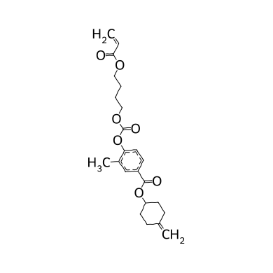 C=CC(=O)OCCCCOC(=O)Oc1ccc(C(=O)OC2CCC(=C)CC2)cc1C